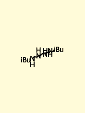 CCC(C)CNCCNCCNCCNCC(C)CC